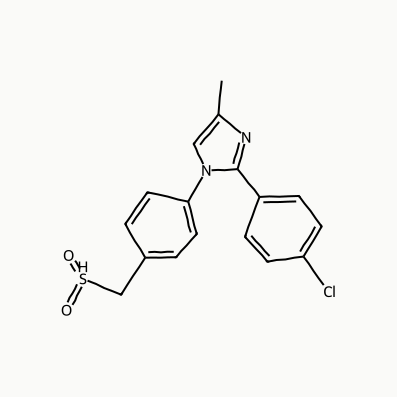 Cc1cn(-c2ccc(C[SH](=O)=O)cc2)c(-c2ccc(Cl)cc2)n1